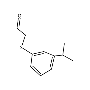 CC(C)c1cccc(SCC=O)c1